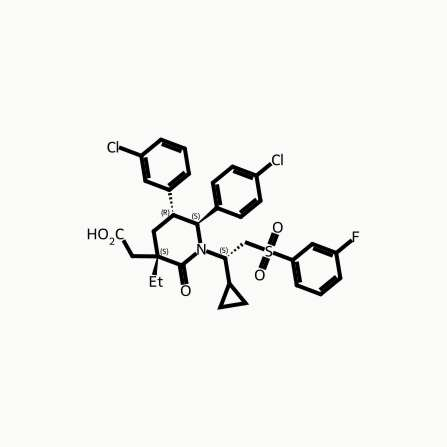 CC[C@@]1(CC(=O)O)C[C@H](c2cccc(Cl)c2)[C@@H](c2ccc(Cl)cc2)N([C@H](CS(=O)(=O)c2cccc(F)c2)C2CC2)C1=O